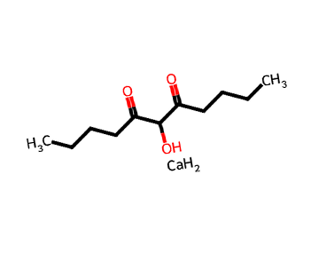 CCCCC(=O)C(O)C(=O)CCCC.[CaH2]